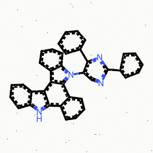 c1ccc(-c2ncc(-n3c4ccccc4c4c5c6ccccc6[nH]c5c5ccccc5c43)c(-c3ccccc3)n2)cc1